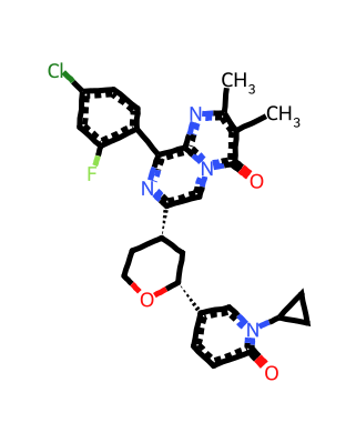 Cc1nc2c(-c3ccc(Cl)cc3F)nc([C@H]3CCO[C@@H](c4ccc(=O)n(C5CC5)c4)C3)cn2c(=O)c1C